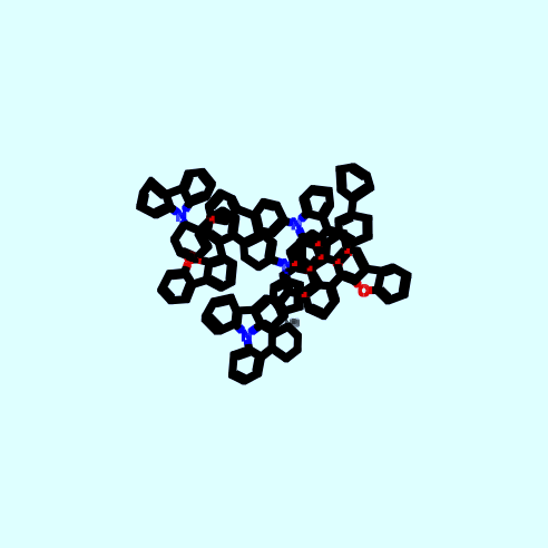 c1ccc2c3cc(-c4ccc(-c5cccc(-c6ccccc6N(c6ccc(-c7cccc(C8=CC=CCC8n8c9ccccc9c9ccccc98)c7)cc6)c6ccc(-c7ccccc7-c7cccc8c7oc7ccccc78)cc6)c5)cc4)ccc3n(-c3ccccc3C3CCC[C@@H](c4ccc(N(C5=CC=C(c6ccccc6-c6cccc7c6oc6ccccc67)CC5)c5ccc(-c6cccc(-c7ccccc7)c6)cc5)cc4)C3)c2c#1